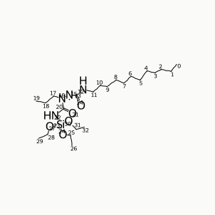 CCCCCCCCCCCCNC(=O)[N]N(CCC)C(=O)N[Si](OCC)(OCC)OCC